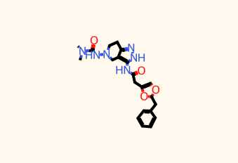 CN(C)C(=O)NN1CCc2n[nH]c(NC(=O)CC3=COC(Cc4ccccc4)O3)c2C1